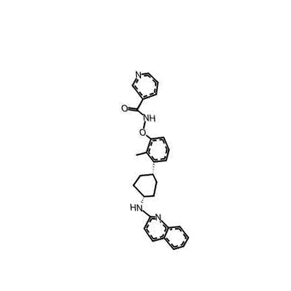 Cc1c(ONC(=O)c2cccnc2)cccc1[C@H]1CC[C@@H](Nc2ccc3ccccc3n2)CC1